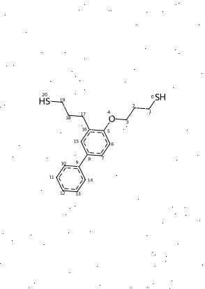 SCCCOc1ccc(-c2ccccc2)cc1CCCS